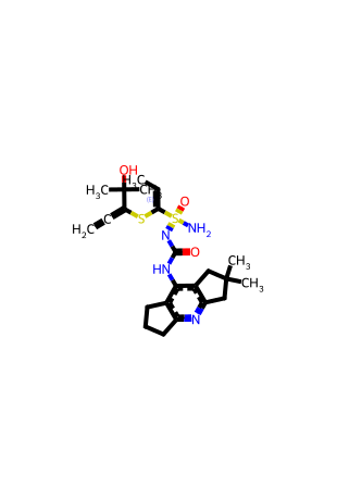 C=C=C(S/C(=C\C)S(N)(=O)=NC(=O)Nc1c2c(nc3c1CC(C)(C)C3)CCC2)C(C)(C)O